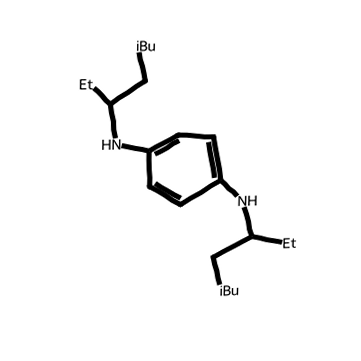 CCC(C)CC(CC)Nc1ccc(NC(CC)CC(C)CC)cc1